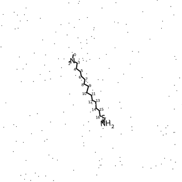 CN(C)CCCCCCCCCCCCCCSN